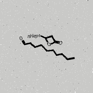 CCCCCCCC1CC(=O)O1.CCCCCCCCCC=O